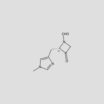 Cn1cnc(C[C@H]2C(=O)CN2C=O)c1